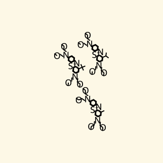 COCCN(CCOC)c1ccc2nc3c(C(C)(C)C)cc(N(CCOC)CCOC)cc3[s+]c2c1.COCCN(CCOC)c1ccc2nc3c(C(C)C)cc(N(CCOC)CCOC)cc3[s+]c2c1.COCCN(CCOC)c1ccc2nc3c(C)cc(N(CCOC)CCOC)cc3[s+]c2c1